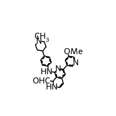 COc1cncc(-c2cc3c(c(Nc4ccc(C5CCN(C)CC5)cc4)n2)C(C=O)NC=C3)c1